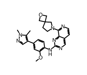 COc1cc(-c2cnn(C)c2C)ccc1Nc1ncc2ccnc(N3CCC4(COC4)C3)c2n1